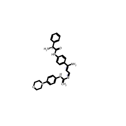 C=C(/N=C\C=C(/N)c1ccc(NC(=O)[C@@H](N)c2ccccc2)cc1)Nc1ccc(N2CCOCC2)cc1